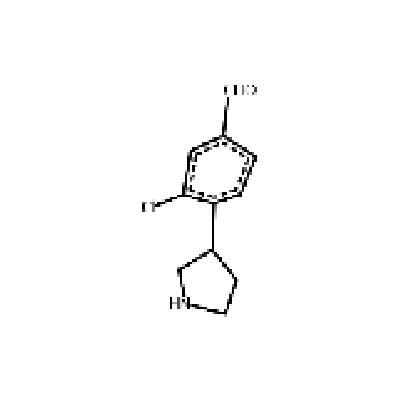 O=Cc1ccc(C2CCNC2)c(Cl)c1